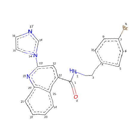 O=C(NCc1ccc(Br)cc1)c1cc(-n2ccnc2)nc2ccccc12